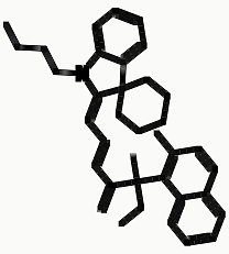 C=C(/C=C/C=C1/N(CCCC)c2ccccc2C12CCCCC2)C(C)(CC)c1c(C)ccc2ccccc12